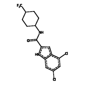 O=C(NC1CCC(C(F)(F)F)CC1)c1cc2c(Cl)cc(Cl)cc2[nH]1